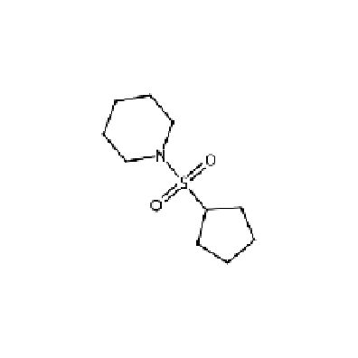 O=S(=O)(C1CCCC1)N1CCCCC1